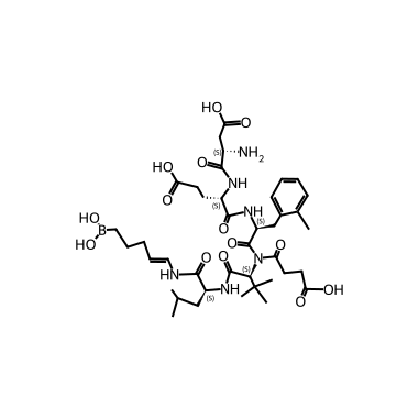 Cc1ccccc1C[C@H](NC(=O)[C@H](CCC(=O)O)NC(=O)[C@@H](N)CC(=O)O)C(=O)N(C(=O)CCC(=O)O)[C@H](C(=O)N[C@@H](CC(C)C)C(=O)NC=CCCCB(O)O)C(C)(C)C